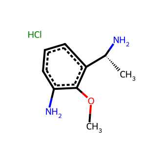 COc1c(N)cccc1[C@@H](C)N.Cl